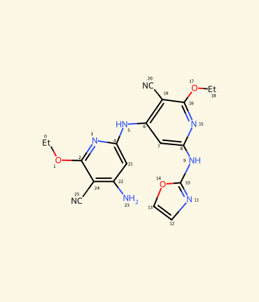 CCOc1nc(Nc2cc(Nc3ncco3)nc(OCC)c2C#N)cc(N)c1C#N